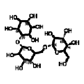 OCC1O[C@H](OCC2O[C@@H](O[C@H]3C(O)C(O)[C@H](O)C(O)[C@@H]3O)C(O)[C@H](O)[C@H]2O)C(O)[C@H](O)[C@H]1O